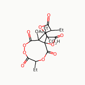 CCC1OC(=O)C2(OC(=O)C2CC)C(OC(C)=O)(C2(C(=O)O)OC(=O)C2CC)C(=O)OOC1=O